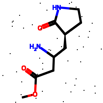 COC(=O)CC(N)C[C@@H]1CCNC1=O